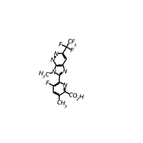 Cc1cc(F)c(-c2nc3cc(C(F)(F)C(F)(F)F)nnc3n2C)nc1C(=O)O